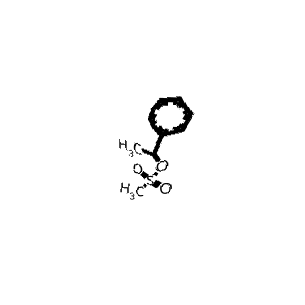 CC(OS(C)(=O)=O)c1ccccc1